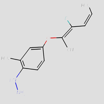 C/C=C\C(F)=C(/C)Oc1ccc(NN)c(C)c1